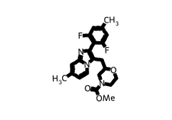 COC(=O)N1CCOC(Cc2c(-c3c(F)cc(C)cc3F)nc3cc(C)ccn23)C1